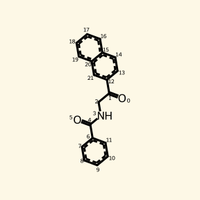 O=C(CNC(=O)c1ccccc1)c1ccc2ccccc2c1